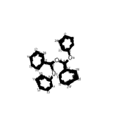 c1ccc(OC(OC(Oc2ccccc2)c2ccccc2)c2ccccc2)cc1